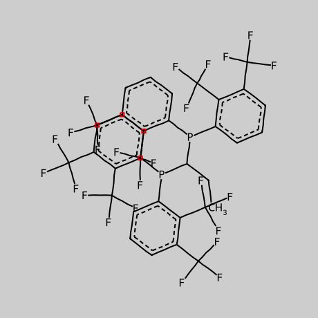 CCC(P(c1cccc(C(F)(F)F)c1C(F)(F)F)c1cccc(C(F)(F)F)c1C(F)(F)F)P(c1cccc(C(F)(F)F)c1C(F)(F)F)c1cccc(C(F)(F)F)c1C(F)(F)F